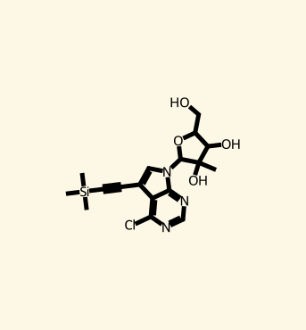 CC1(O)C(O)C(CO)OC1n1cc(C#C[Si](C)(C)C)c2c(Cl)ncnc21